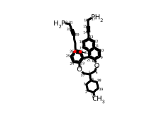 CC1CCC(C2COc3ccc4cc(C#CCP)ccc4c3-c3c(ccc4cc(C#CCP)ccc34)OC2)CC1